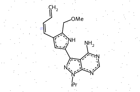 C=C/C=C\c1cc(-c2nn(C(C)C)c3ncnc(N)c23)[nH]c1COC